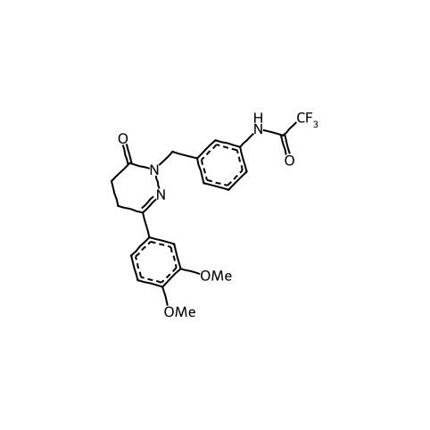 COc1ccc(C2=NN(Cc3cccc(NC(=O)C(F)(F)F)c3)C(=O)CC2)cc1OC